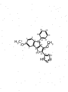 COc1ccc2c(c1)c1oc(-c3nnn[nH]3)c(OC)c1n2-c1ccccc1